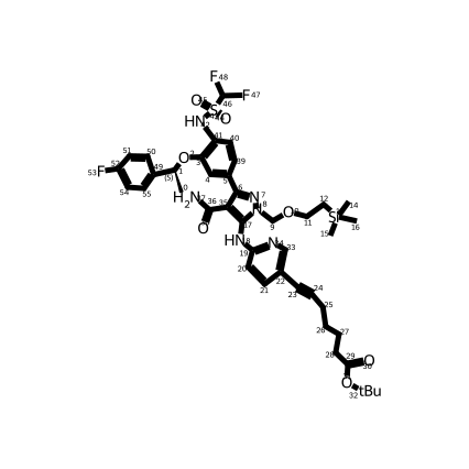 C[C@H](Oc1cc(-c2nn(COCC[Si](C)(C)C)c(Nc3ccc(C#CCCCCC(=O)OC(C)(C)C)cn3)c2C(N)=O)ccc1NS(=O)(=O)C(F)F)c1ccc(F)cc1